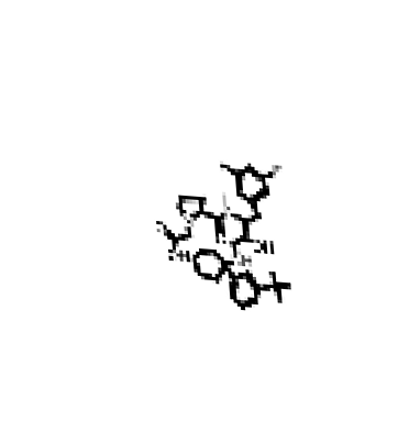 CC(C)(C)c1cccc(C2(NC[C@H](O)C(Cc3cc(F)cc(F)c3)NC(=O)C3CCCN3CC(=O)O)CCCCC2)c1